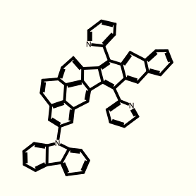 c1ccc(-c2c3c(c(-c4ccccn4)c4cc5ccccc5cc24)-c2cc4cc(-n5c6ccccc6c6ccccc65)cc5ccc6ccc-3c2c6c54)nc1